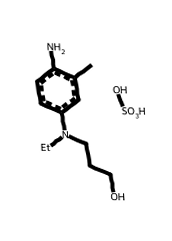 CCN(CCCO)c1ccc(N)c(C)c1.O=S(=O)(O)O